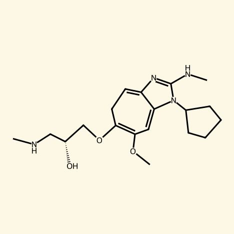 CNC[C@@H](O)COC1=C(OC)C=c2c(nc(NC)n2C2CCCC2)=CC1